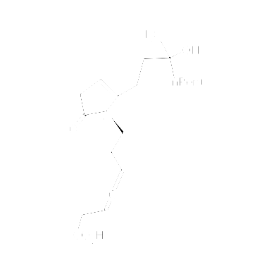 CCCCCC(C)(O)CCC1=CCC(=O)[C@@H]1CCC=C=CCC(=O)O